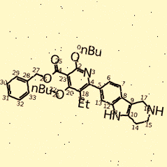 CCCCOc1nc(-c2ccc3c4c([nH]c3c2)CCNC4)c(CC)c(OCCCC)c1C(=O)OCc1ccccc1